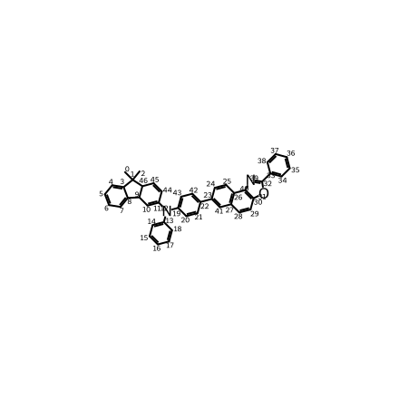 CC1(C)c2ccccc2C2C=C(N(c3ccccc3)c3ccc(-c4ccc5c(ccc6oc(-c7ccccc7)nc65)c4)cc3)C=CC21